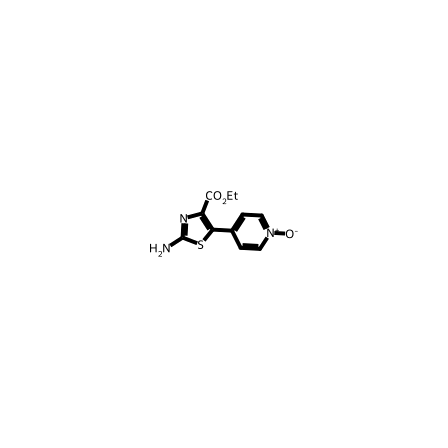 CCOC(=O)c1nc(N)sc1-c1cc[n+]([O-])cc1